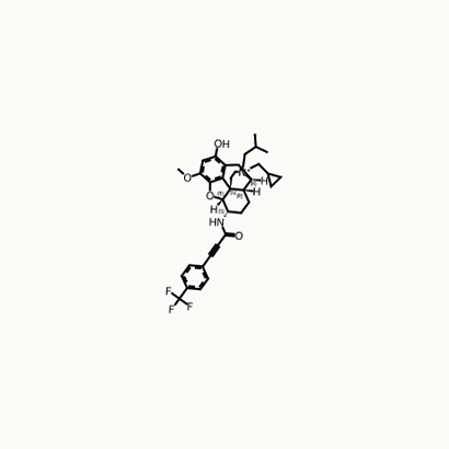 COc1cc(O)c2c3c1O[C@H]1[C@@H](NC(=O)C#Cc4ccc(C(F)(F)F)cc4)CC[C@H]4[C@@H](C2)[N+](CC(C)C)(CC2CC2)CC[C@@]341